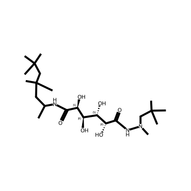 CC(CC(C)(C)CC(C)(C)C)NC(=O)[C@@H](O)[C@H](O)[C@H](O)[C@@H](O)C(=O)NN(C)CC(C)(C)C